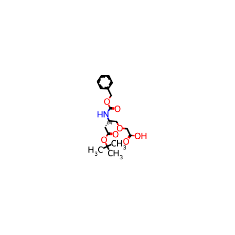 CC(C)(C)OC(=O)C[C@@H](COCC(=O)O)NC(=O)OCc1ccccc1